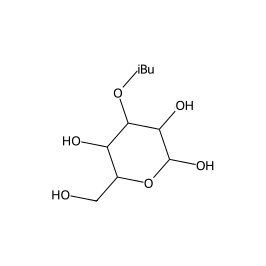 CCC(C)OC1C(O)C(O)OC(CO)C1O